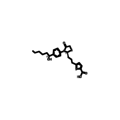 CCCCC[C@H](O)c1ccc(N2C(=O)CS[C@H]2CCCc2ccc(C(=O)O)s2)cc1